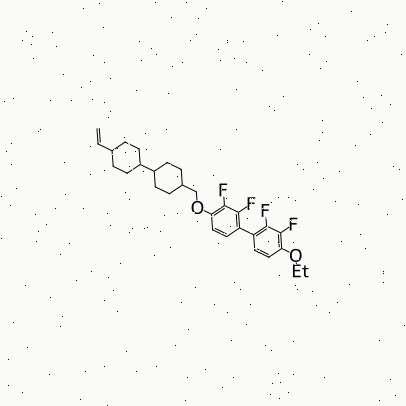 C=CC1CCC(C2CCC(COc3ccc(-c4ccc(OCC)c(F)c4F)c(F)c3F)CC2)CC1